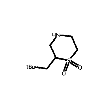 CC(C)(C)CC1CNCCS1(=O)=O